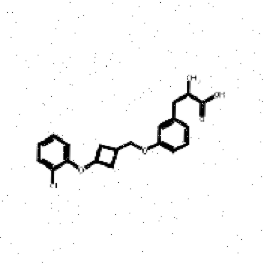 CC(Cc1cccc(OCC2CC(Oc3ccccc3Cl)C2)c1)C(=O)O